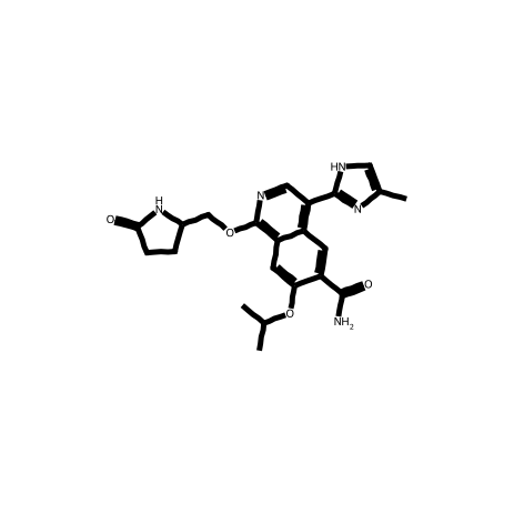 Cc1c[nH]c(-c2cnc(OCC3CCC(=O)N3)c3cc(OC(C)C)c(C(N)=O)cc23)n1